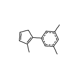 CC1=C(c2cc(C)cc(C)c2)CC=C1